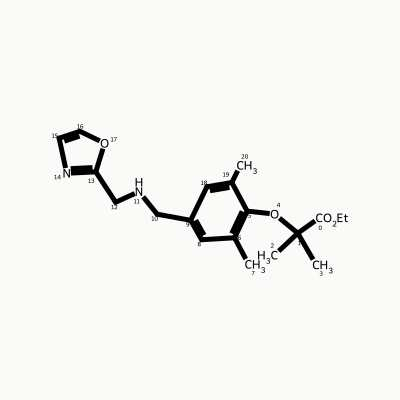 CCOC(=O)C(C)(C)Oc1c(C)cc(CNCc2ncco2)cc1C